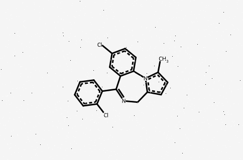 Cc1ccc2n1-c1ccc(Cl)cc1C(c1ccccc1Cl)=NC2